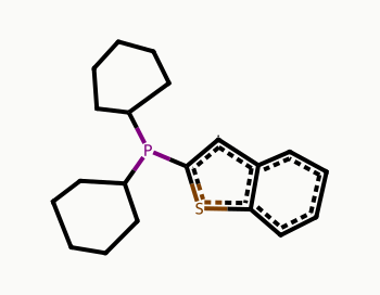 [c]1c(P(C2CCCCC2)C2CCCCC2)sc2ccccc12